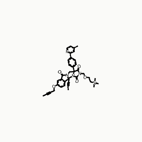 CC#CCOc1ccc2c(c1)C(=O)N(CC1(c3ccc(-c4cc(C)ccn4)cc3)C(=O)N(COCC[Si](C)(C)C)C(=O)N1CC#CC)C2